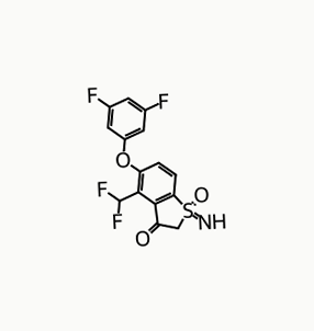 N=S1(=O)CC(=O)c2c1ccc(Oc1cc(F)cc(F)c1)c2C(F)F